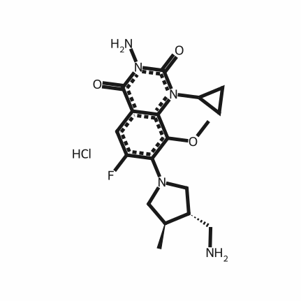 COc1c(N2C[C@H](CN)[C@@H](C)C2)c(F)cc2c(=O)n(N)c(=O)n(C3CC3)c12.Cl